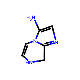 Nc1cnc2n1C=CNC2